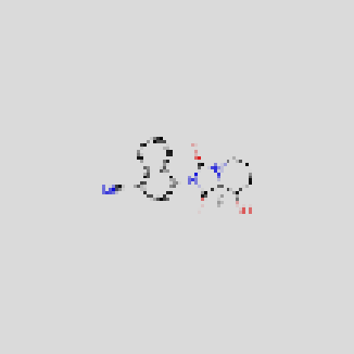 N#Cc1ccc(N2C(=O)[C@H]3[C@@H](O)CCCN3C2=O)c2ccccc12